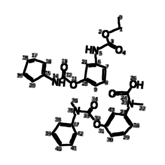 CCOC(=O)Nc1cccc(OC(=O)Nc2ccccc2)c1.CN(C(=O)O)c1cccc(OC(=O)N(C)c2ccccc2)c1